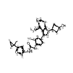 CC1(c2cc(NC(=O)Nc3ccc(-c4nn(C5CC(O)C5)c5ncnc(N)c45)cc3F)no2)CC1